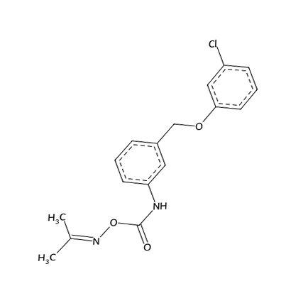 CC(C)=NOC(=O)Nc1cccc(COc2cccc(Cl)c2)c1